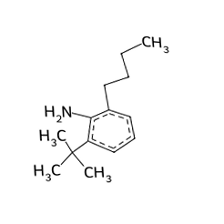 CCCCc1cccc(C(C)(C)C)c1N